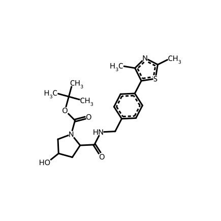 Cc1nc(C)c(-c2ccc(CNC(=O)C3CC(O)CN3C(=O)OC(C)(C)C)cc2)s1